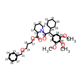 COc1cc(C(C(=O)N2CCCCC2C(=O)OCCCOCc2ccccc2)C2CCCCC2)cc(OC)c1OC